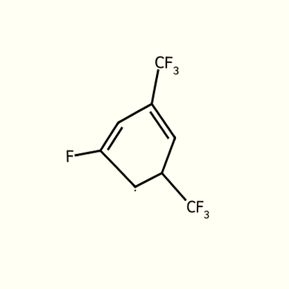 FC1=CC(C(F)(F)F)=CC(C(F)(F)F)[CH]1